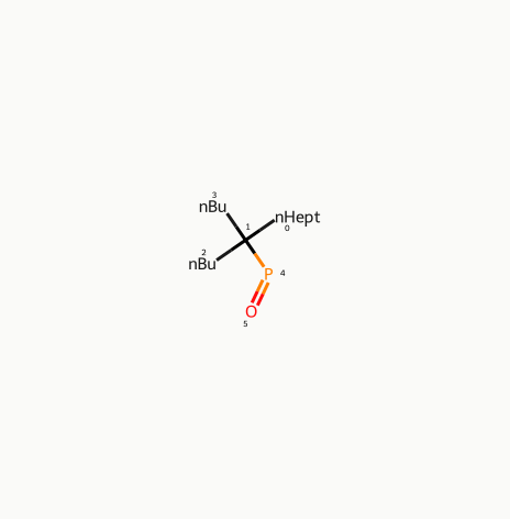 CCCCCCCC(CCCC)(CCCC)P=O